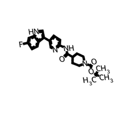 CC(C)(C)OC(=O)N1CCC(C(=O)Nc2ccc(-c3c[nH]c4cc(F)ccc34)cn2)CC1